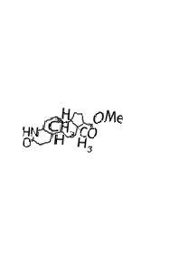 COC(=O)C1CC[C@H]2C3=CCC4NC(=O)CC[C@]4(C)[C@@H]3CC[C@]12C